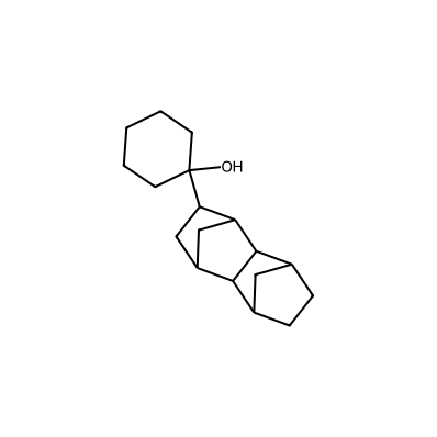 OC1(C2CC3CC2C2C4CCC(C4)C32)CCCCC1